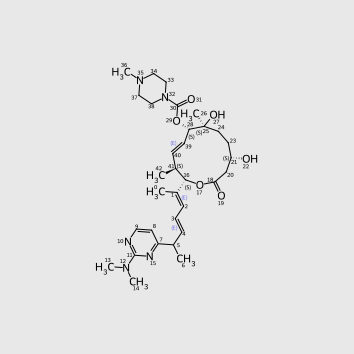 C/C(=C\C=C\C(C)c1ccnc(N(C)C)n1)[C@H]1OC(=O)C[C@@H](O)CC[C@](C)(O)[C@@H](OC(=O)N2CCN(C)CC2)/C=C/[C@@H]1C